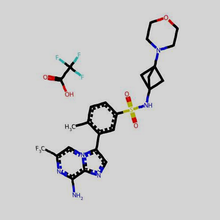 Cc1ccc(S(=O)(=O)NC23CC(N4CCOCC4)(C2)C3)cc1-c1cnc2c(N)nc(C(F)(F)F)cn12.O=C(O)C(F)(F)F